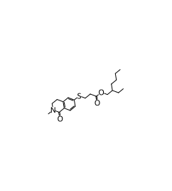 CCCCC(CC)COC(=O)CCSc1ccc2c(c1)CCN(C)C2=O